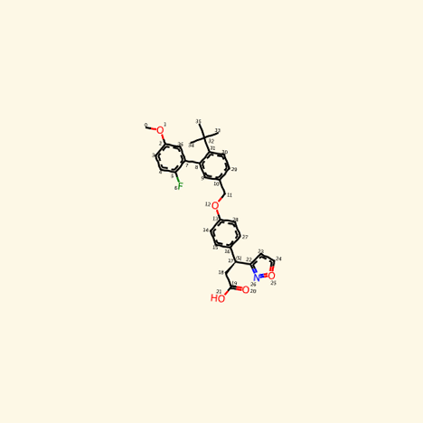 COc1ccc(F)c(-c2cc(COc3ccc([C@H](CC(=O)O)c4ccon4)cc3)ccc2C(C)(C)C)c1